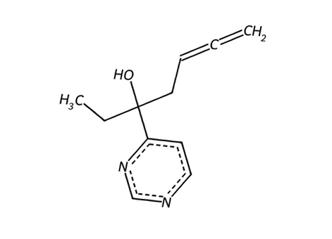 C=C=CCC(O)(CC)c1ccncn1